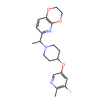 Cc1ncc(OC2CCN(C(C)c3ccc4c(n3)OCCO4)CC2)cc1F